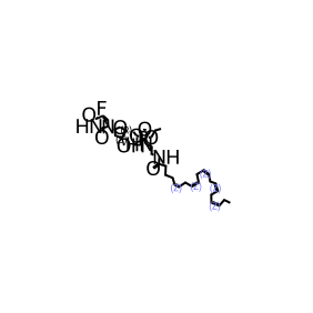 CC/C=C\C/C=C\C/C=C\C/C=C\C/C=C\CCCC(=O)NCCNP(=O)(OCC)OC[C@H]1OC(n2cc(F)c(=O)[nH]c2=O)C[C@@H]1O